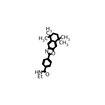 CCNC(=O)c1ccc(-c2nc3cc4c(cc3o2)C(C)(C)CCC4(C)C)cc1